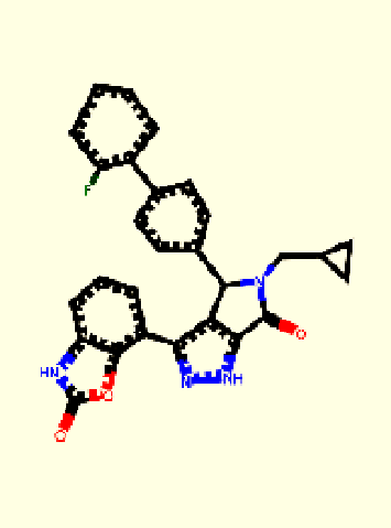 O=C1c2[nH]nc(-c3cccc4[nH]c(=O)oc34)c2C(c2ccc(-c3ccccc3F)cc2)N1CC1CC1